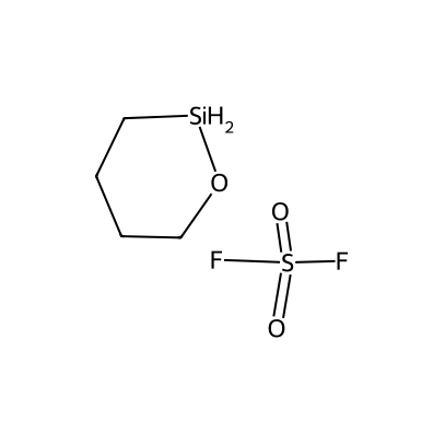 C1CC[SiH2]OC1.O=S(=O)(F)F